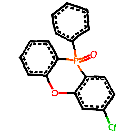 O=P1(c2ccccc2)c2ccccc2Oc2cc(Cl)ccc21